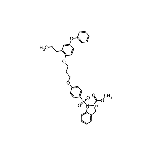 CCCc1cc(Oc2ccccc2)ccc1OCCCOc1ccc(S(=O)(=O)N2c3ccccc3C[C@@H]2C(=O)OC)cc1